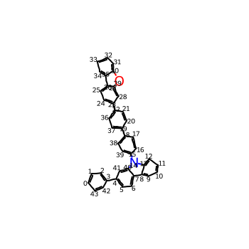 c1ccc(-c2ccc3c4ccccc4n(-c4ccc(-c5ccc(-c6ccc7c(c6)oc6ccccc67)cc5)cc4)c3c2)cc1